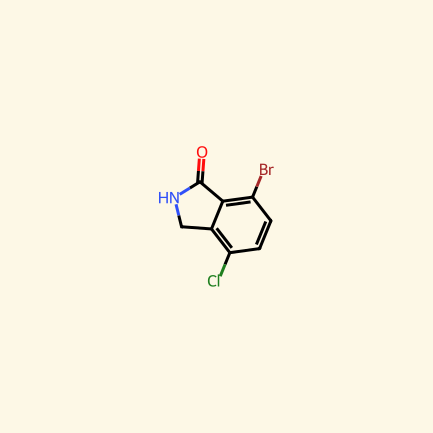 O=C1NCc2c(Cl)ccc(Br)c21